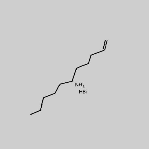 Br.C=CCCCCCCCCC.N